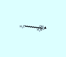 CCCCCCCCCCCCCC=CC(O)C(N)COC1=CC1